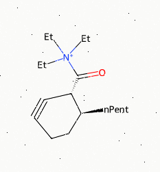 CCCCC[C@H]1CCC#C[C@@H]1C(=O)[N+](CC)(CC)CC